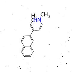 C/C=C(\C=C/NC)c1ccc2ccccc2c1